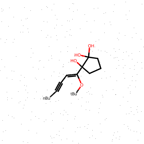 CCCCC#C/C=C(\OC(C)(C)C)C1(O)CCCC1(O)O